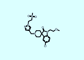 COCCN1C(=O)C2(CCN(Cc3cnn(CCS(C)(=O)=O)c3)CC2)c2cc(Cl)ccc21